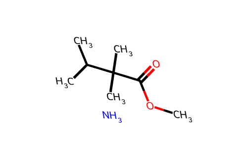 COC(=O)C(C)(C)C(C)C.N